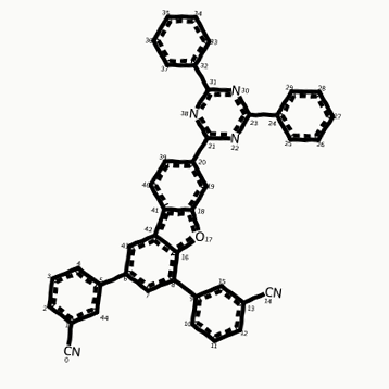 N#Cc1cccc(-c2cc(-c3cccc(C#N)c3)c3oc4cc(-c5nc(-c6ccccc6)nc(-c6ccccc6)n5)ccc4c3c2)c1